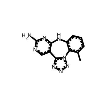 Cc1cccc2c1-n1nnnc1-c1cnc(N)nc1N2